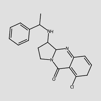 CC(NC1CCN2C(=O)C3=C(Cl)CC=CC3=NC12)c1ccccc1